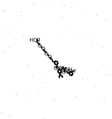 CCN(CC)c1ccc(NC(=O)c2cccc(CCCOCCOCCOCCOCCC(=O)O)c2)c(C2=CC2(C=N)C(=O)NCc2cccc(CF)c2)c1